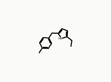 [CH2]Cc1ccc(Cc2ccc(C)cc2)[nH]1